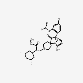 CC(C)c1ccnn1C1(C(=O)Nc2ccc(Cl)cc2OC(F)F)CCN(C[C@@H](C(=O)OC(C)(C)C)C2C[C@@H](C)O[C@@H](C)C2)CC1